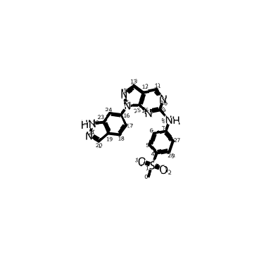 CS(=O)(=O)c1ccc(Nc2ncc3cnn(-c4ccc5cn[nH]c5c4)c3n2)cc1